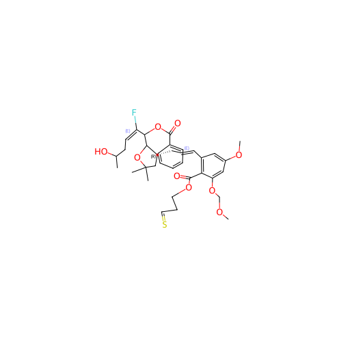 COCOc1cc(OC)cc(/C=C/C[C@@H]2CC(C)(C)OC2C(OC(=O)c2ccccc2)/C(F)=C\CC(C)O)c1C(=O)OCCC=S